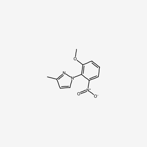 COc1cccc([N+](=O)[O-])c1-n1ccc(C)n1